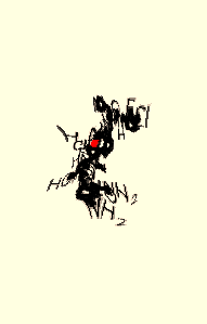 C[C@H](CO)N(CC(=O)N[C@H](CN(C)C)c1cc(-c2cccc3c2c(C(N)=O)nn3CC(=O)N(CC(=O)NCc2cccc(Cl)c2F)CC2CCN(C)CC2)cc(Cl)c1F)C(=O)Cn1nc(C(N)=O)c2cc(N)ccc21